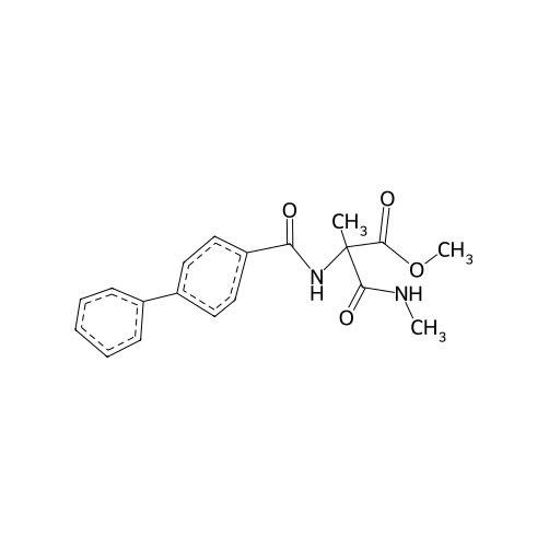 CNC(=O)C(C)(NC(=O)c1ccc(-c2ccccc2)cc1)C(=O)OC